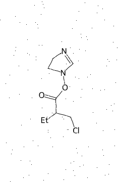 CCC(CCl)C(=O)ON1C=NCC1